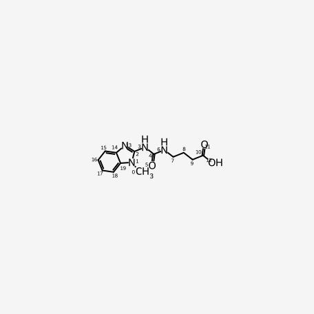 Cn1c(NC(=O)NCCCC(=O)O)nc2ccccc21